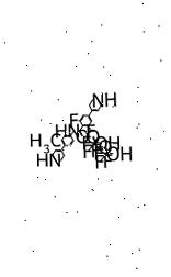 Cc1cc(NC(=O)c2c(F)cc(C3=CCNCC3)cc2F)ccc1C1=CCNCC1.O=C(O)C(F)(F)F.O=C(O)C(F)(F)F